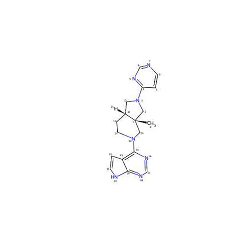 C[C@]12CN(c3ccncn3)C[C@H]1CCN(c1ncnc3[nH]ccc13)C2